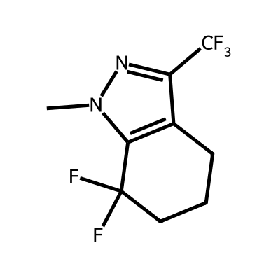 Cn1nc(C(F)(F)F)c2c1C(F)(F)CCC2